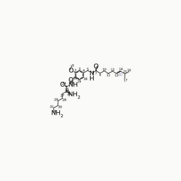 COc1cc(CNC(=O)CCCC/C=C/C(C)C)ccc1ONC(=O)[C@@H](N)CCCCCN